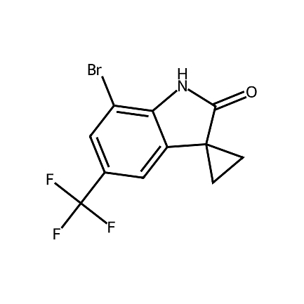 O=C1Nc2c(Br)cc(C(F)(F)F)cc2C12CC2